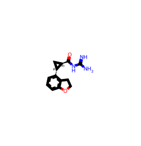 N=C(N)NC(=O)[C@@H]1C[C@H]1c1cccc2c1CCO2